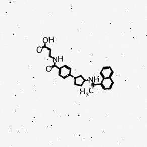 C[C@@H](NC1CCC(c2ccc(C(=O)NCCC(=O)O)cc2)C1)c1cccc2ccccc12